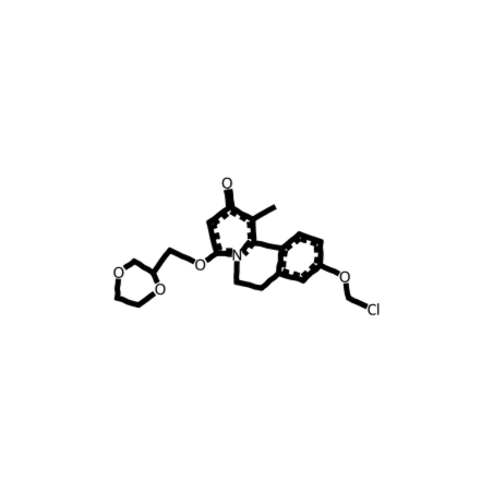 Cc1c2n(c(OCC3COCCO3)cc1=O)CCc1cc(OCCl)ccc1-2